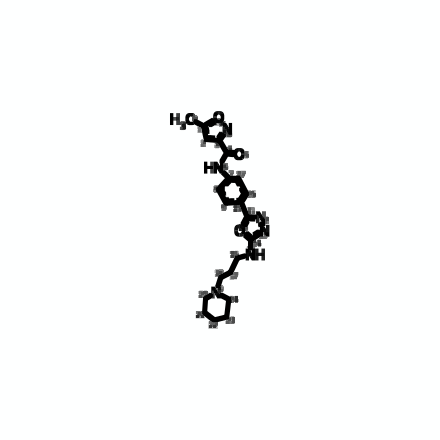 Cc1cc(C(=O)Nc2ccc(-c3nnc(NCCCN4CCCCC4)o3)cc2)no1